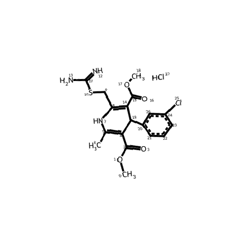 COC(=O)C1=C(C)NC(CSC(=N)N)=C(C(=O)OC)C1c1cccc(Cl)c1.Cl